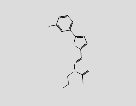 NC(=S)N(CCO)N=Cc1ccc(-c2cccc(Cl)c2)o1